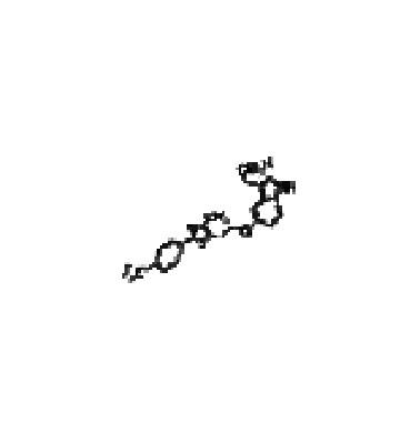 Cc1nc(-c2ccc(C(F)(F)F)cc2)sc1CCOc1ccc2[nH]cc(CC(=O)O)c2c1